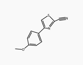 COc1ccc(-c2csc(C#N)n2)cc1